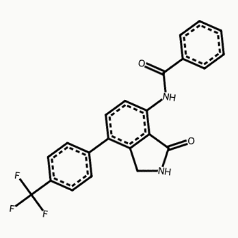 O=C(Nc1ccc(-c2ccc(C(F)(F)F)cc2)c2c1C(=O)NC2)c1ccccc1